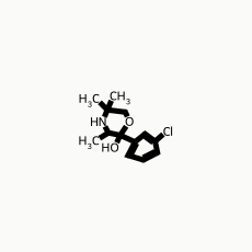 CC1NC(C)(C)COC1(O)c1cccc(Cl)c1